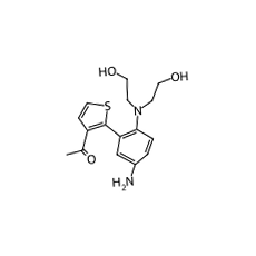 CC(=O)c1ccsc1-c1cc(N)ccc1N(CCO)CCO